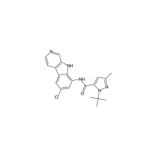 Cc1cc(C(=O)Nc2cc(Cl)cc3c2[nH]c2cnccc23)n(C(C)(C)C)n1